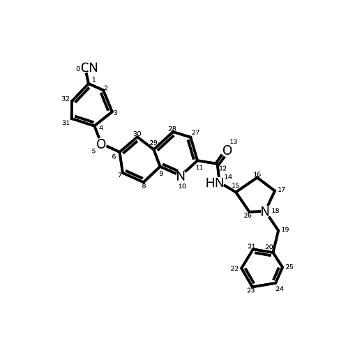 N#Cc1ccc(Oc2ccc3nc(C(=O)NC4CCN(Cc5ccccc5)C4)ccc3c2)cc1